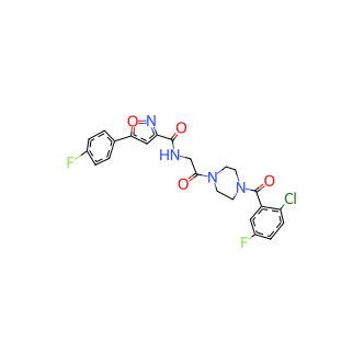 O=C(NCC(=O)N1CCN(C(=O)c2cc(F)ccc2Cl)CC1)c1cc(-c2ccc(F)cc2)on1